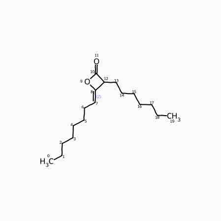 CCCCCCC/C=C1\OC(=O)C1CCCCCCC